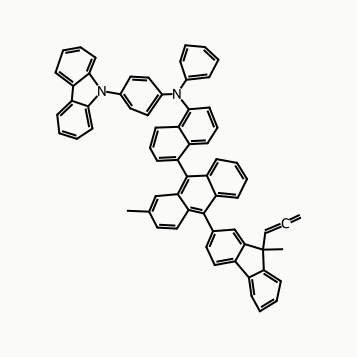 C=C=CC1(C)c2ccccc2-c2ccc(-c3c4ccccc4c(-c4cccc5c(N(c6ccccc6)c6ccc(-n7c8ccccc8c8ccccc87)cc6)cccc45)c4cc(C)ccc34)cc21